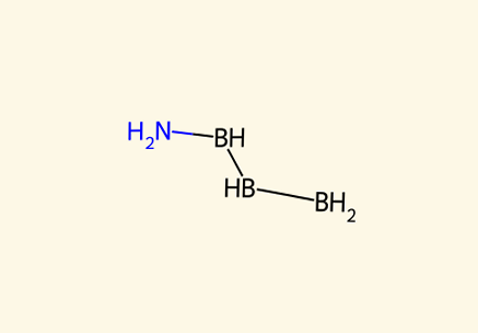 BBBN